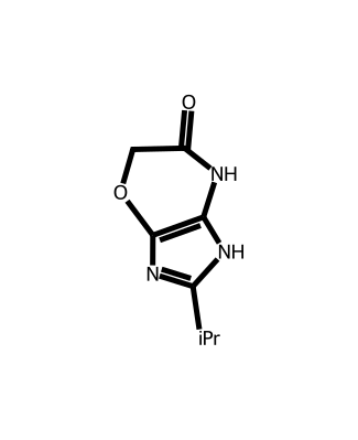 CC(C)c1nc2c([nH]1)NC(=O)CO2